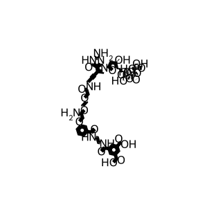 Nc1nc2c(c(C#CCNC(=O)COCCOC(N)COc3cccc(C(=O)NCCNC(=O)c4cc(C(=O)O)cc(C(=O)O)c4)c3)cn2[C@H]2C[C@H](O)[C@@H](COP(=O)(O)OP(=O)(O)OP(=O)(O)O)O2)c(=O)[nH]1